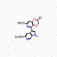 CCC1COc2c(cc(SC)nc2-c2cn(C)c3cnc(NC(C)=O)cc23)O1